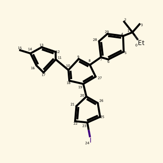 CCC(C)(C)c1ccc(-c2cc(-c3ccc(C)cc3)cc(-c3ccc(I)cc3)c2)cc1